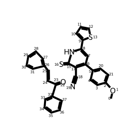 COc1ccc(-c2cc(-c3cccs3)[nH]c(=S)c2C#N)cc1.O=C(/C=C/c1ccccc1)c1ccccc1